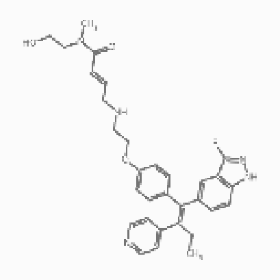 CC/C(=C(/c1ccc(OCCNC/C=C/C(=O)N(C)CCO)cc1)c1ccc2[nH]nc(F)c2c1)c1ccncc1